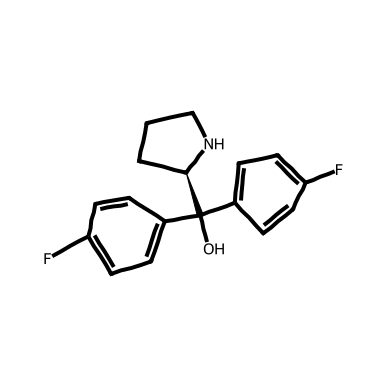 OC(c1ccc(F)cc1)(c1ccc(F)cc1)[C@H]1CCCN1